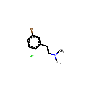 CN(C)CCc1cccc(Br)c1.Cl